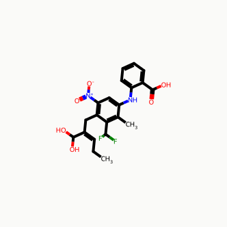 CCC=C(Cc1c([N+](=O)[O-])cc(Nc2ccccc2C(=O)O)c(C)c1C(F)F)C(O)O